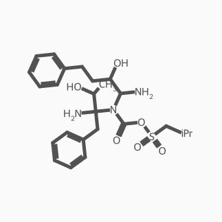 CC(C)CS(=O)(=O)OC(=O)N(C(N)C(O)CCc1ccccc1)C(N)(Cc1ccccc1)C(C)O